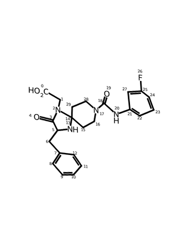 O=C(O)CN1C(=O)C(Cc2ccccc2)NC12CCN(C(=O)Nc1cccc(F)c1)CC2